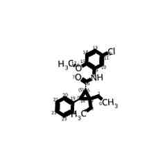 CCC1(CC)[C@@H](C(=O)Nc2cc(Cl)ccc2OC)[C@@H]1c1ccccc1